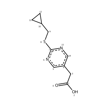 O=C(O)Cc1cnc(SCC2CC2)nc1